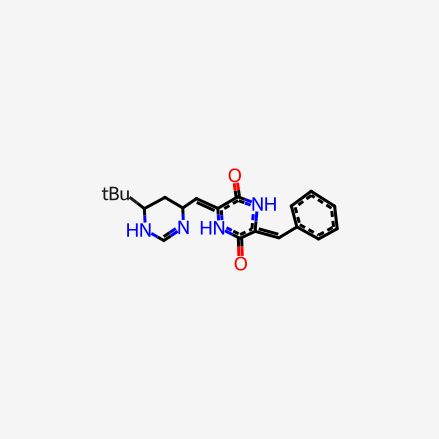 CC(C)(C)C1CC(/C=c2\[nH]c(=O)/c(=C/c3ccccc3)[nH]c2=O)N=CN1